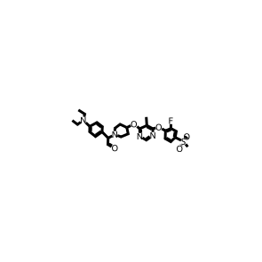 CCN(CC)c1ccc(C(C=O)N2CCC(Oc3ncnc(Oc4ccc(S(C)(=O)=O)cc4F)c3C)CC2)cc1